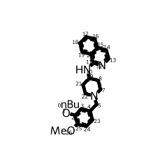 CCCCOc1cc(CN2CCC(Nc3nccc4ccccc34)CC2)ccc1OC